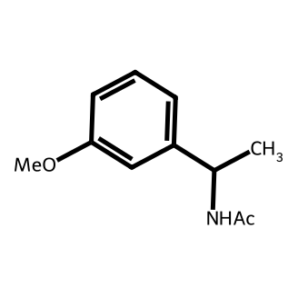 COc1cccc(C(C)NC(C)=O)c1